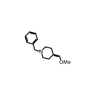 COC=C1CCN(Cc2ccccc2)CC1